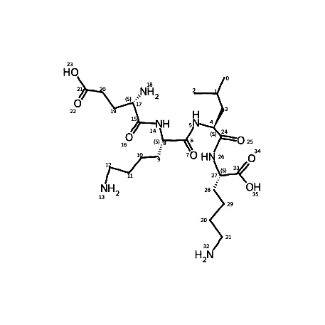 CC(C)C[C@H](NC(=O)[C@H](CCCCN)NC(=O)[C@@H](N)CCC(=O)O)C(=O)N[C@@H](CCCCN)C(=O)O